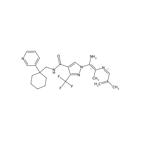 C=C(C)/C=N\C(C)=C(/N)n1cc(C(=O)NCC2(c3cccnc3)CCCCC2)c(C(F)(F)F)n1